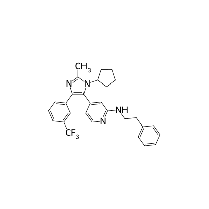 Cc1nc(-c2cccc(C(F)(F)F)c2)c(-c2ccnc(NCCc3ccccc3)c2)n1C1CCCC1